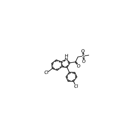 CS(=O)(=O)CC(=O)c1[nH]c2ccc(Cl)cc2c1-c1ccc(Cl)cc1